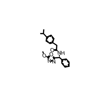 COc1nnc([C@@H](NC(=O)Cc2ccc(C(C)C)cc2)c2ccccc2)o1